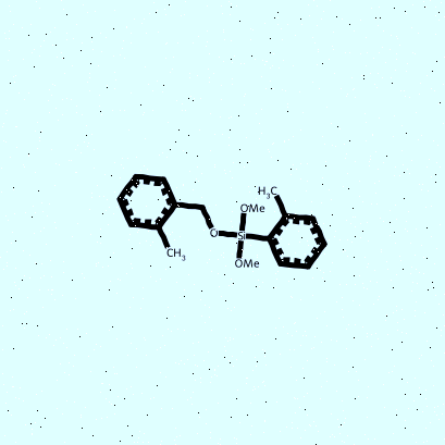 CO[Si](OC)(OCc1ccccc1C)c1ccccc1C